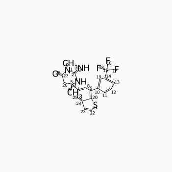 CN1C(=N)N[C@](C)(c2cc(-c3cccc(C(F)(F)F)c3)c3sccc3c2)CC1=O